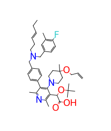 C=CCOC1(C)CCN(c2c(-c3ccc(CN(CCC=CCC)Cc4ccc(F)c(C)c4)cc3)c(C)nc(C)c2C(OC(C)(C)C)C(=O)O)CC1